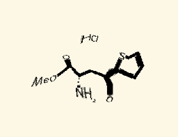 COC(=O)[C@@H](N)CC(=O)c1cccs1.Cl